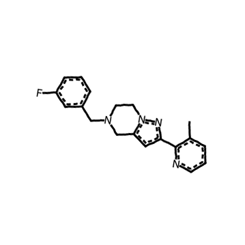 Cc1cccnc1-c1cc2n(n1)CCN(Cc1cccc(F)c1)C2